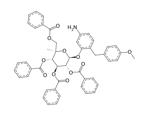 COc1ccc(Cc2ccc(N)cc2O[C@@H]2O[C@](C)(COC(=O)c3ccccc3)[C@@H](OC(=O)c3ccccc3)[C@H](OC(=O)c3ccccc3)[C@H]2OC(=O)c2ccccc2)cc1